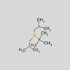 CC(C)CP(CC(C)C)C(C)(C)C